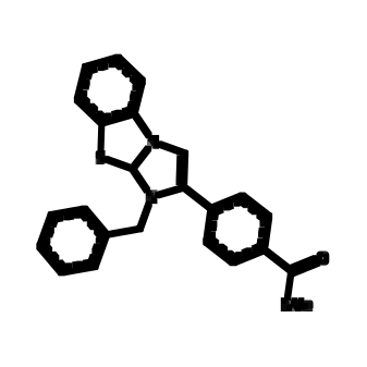 CNC(=O)c1ccc(C2=CN3c4ccccc4SC3N2Cc2ccccc2)cc1